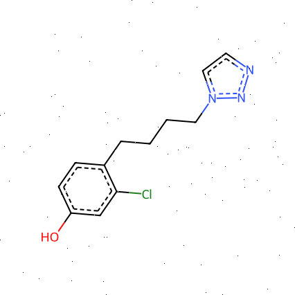 Oc1ccc(CCCCn2ccnn2)c(Cl)c1